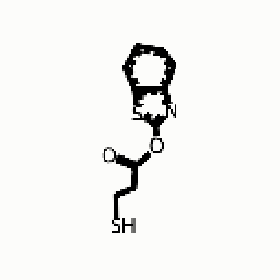 O=C(CCS)Oc1nc2ccccc2s1